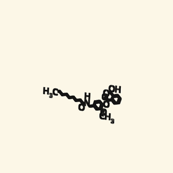 CCCCCCCCC(=O)NCc1ccc(OC(=O)c2ccccc2C(=O)O)c(OC)c1